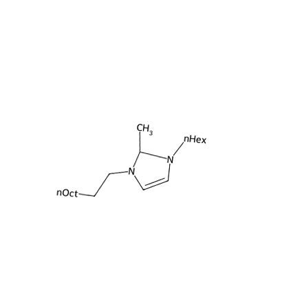 CCCCCCCCCCN1C=CN(CCCCCC)C1C